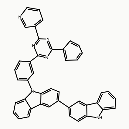 c1ccc(-c2nc(-c3cccnc3)nc(-c3cccc(-n4c5ccccc5c5cc(-c6ccc7[nH]c8ccccc8c7c6)ccc54)c3)n2)cc1